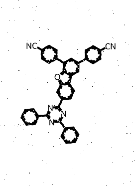 N#Cc1ccc(-c2cc(-c3ccc(C#N)cc3)c3oc4cc(-c5nc(-c6ccccc6)nc(-c6ccccc6)n5)ccc4c3c2)cc1